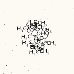 CCC1O[C@H](O[C@H]2OC(CO)[C@@H](C)[C@H](O[Si](C)(C)C)C2O[Si](C)(C)C)C(C)C(O[Si](C)(C)C)[C@@H]1O[Si](C)(C)C